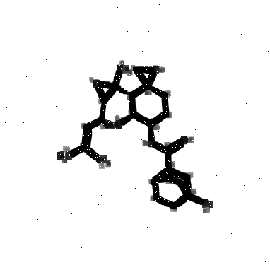 CO[C@H]1[C@H](C2(C)O[C@@H]2CC=C(C)C)[C@]2(CC[C@H]1OC(=O)C1CC3(C(C)=O)CCC1CC3)CO2